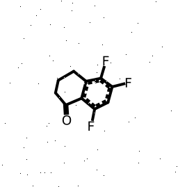 O=C1CCCc2c(F)c(F)cc(F)c21